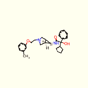 Cc1cccc(OCCN2CC3[C@H](C2)[C@H]3NC(=O)C(O)(c2ccccc2)C2CCCC2)c1